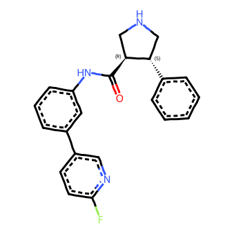 O=C(Nc1cccc(-c2ccc(F)nc2)c1)[C@H]1CNC[C@@H]1c1ccccc1